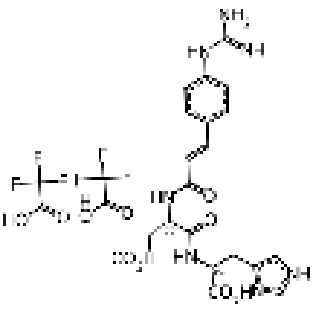 N=C(N)Nc1ccc(C=CC(=O)N[C@@H](CC(=O)O)C(=O)N[C@@H](Cc2c[nH]cn2)C(=O)O)cc1.O=C(O)C(F)(F)F.O=C(O)C(F)(F)F